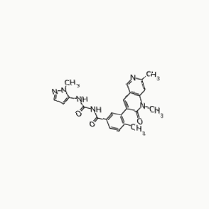 Cc1cc2c(cn1)cc(-c1cc(C(=O)NC(=O)Nc3ccnn3C)ccc1C)c(=O)n2C